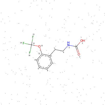 O=C(O)NCCc1ccccc1OC(F)(F)F